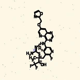 C/N=C(/N)S[C@](C)(Cc1cc(Nc2ncnc3cc(OCc4ncco4)cnc23)cnc1F)[C@@H](O)C(F)(F)F